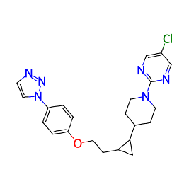 Clc1cnc(N2CCC(C3CC3CCOc3ccc(-n4ccnn4)cc3)CC2)nc1